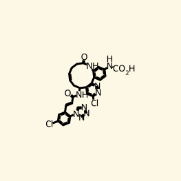 O=C(O)Nc1ccc2c(c1)NC(=O)CCC=CCC(NC(=O)C=Cc1cc(Cl)ccc1-n1cnnn1)c1cc(Cl)nnc1-2